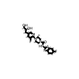 C[C@@H]1CN(C(=O)Nc2nc3ccc(F)cc3s2)CCN1c1ncc(C[C@@H](O)CO)cc1F